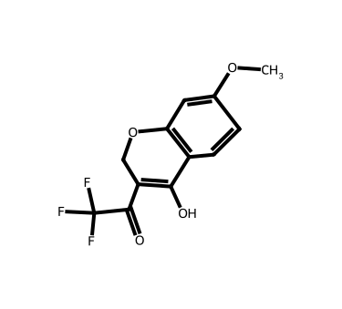 COc1ccc2c(c1)OCC(C(=O)C(F)(F)F)=C2O